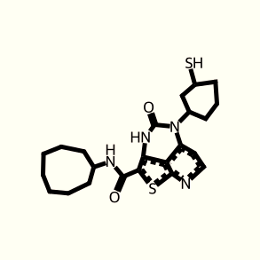 O=C(NC1CCCCCCC1)c1sc2nccc3c2c1NC(=O)N3C1CCCC(S)C1